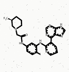 Cc1ccc(NC(=O)CN2CCC[C@H](C(F)(F)F)C2)cc1Nc1ncccc1-c1ncnc2[nH]cnc12